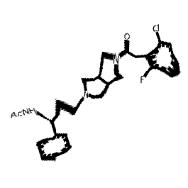 [CH2]C(=O)N[C@@H](CCN1CC2CN(C(=O)c3c(F)cccc3Cl)CC2C1)c1ccccc1